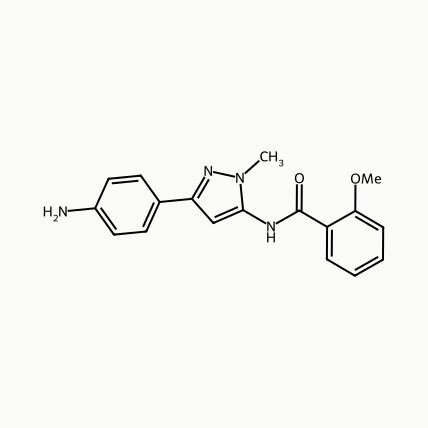 COc1ccccc1C(=O)Nc1cc(-c2ccc(N)cc2)nn1C